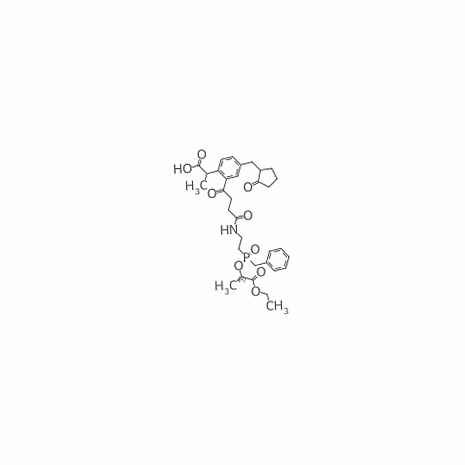 CCOC(=O)[C@@H](C)OP(=O)(CCNC(=O)CCC(=O)c1cc(CC2CCCC2=O)ccc1C(C)C(=O)O)Cc1ccccc1